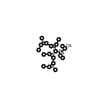 N#Cc1ccc(-c2nc(-c3cc(-n4c5ccc(-c6ccccc6)cc5c5cc(-c6ccc7c(c6)c6cc(-c8ccccc8)ccc6n7-c6ccccc6)ccc54)cc(-n4c5ccc(-c6ccccc6)cc5c5cc(-c6ccc7c(c6)c6cc(-c8ccccc8)ccc6n7-c6ccccc6)ccc54)c3)c3ccc4ccccc4c3n2)c2ccccc12